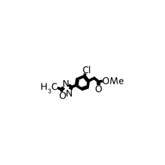 COC(=O)Cc1ccc(-c2noc(C)n2)cc1Cl